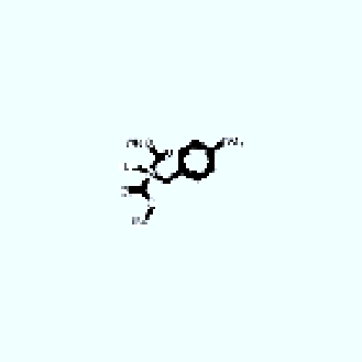 COC(=O)[N+](C)(Cc1ccc([N+](=O)[O-])cc1)C(=O)OC(C)(C)C